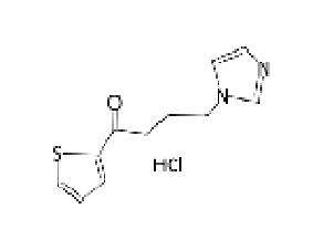 Cl.O=C(CCCn1ccnc1)c1cccs1